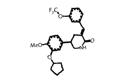 COc1ccc(C2CNC(=O)C(=Cc3cccc(OC(F)(F)F)c3)C2)cc1OC1CCCC1